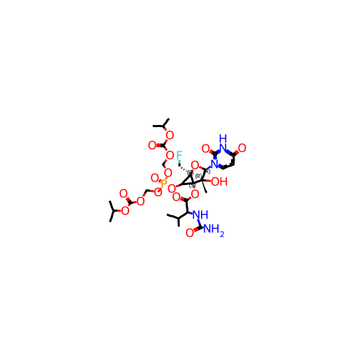 CC(C)OC(=O)OCOP(=O)(OCOC(=O)OC(C)C)OC1[C@]2(OC(=O)C(NC(N)=O)C(C)C)[C@@](C)(O)[C@H](n3ccc(=O)[nH]c3=O)O[C@]12CF